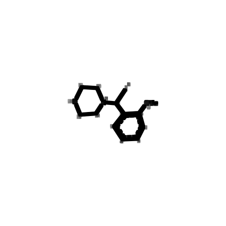 COc1ccccc1C(I)N1CCOCC1